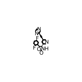 O=C1N[C@H](c2cncc(C#Cc3cnccn3)c2)C(c2cc(F)ccc2F)O1